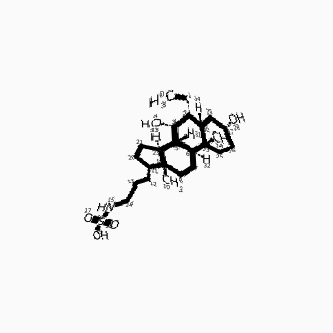 CC[C@H]1[C@@H](O)[C@@H]2[C@H](CC[C@]3(C)[C@@H](CCCNS(=O)(=O)O)CC[C@@H]23)[C@@]2(C)CC[C@@H](O)C[C@@H]12